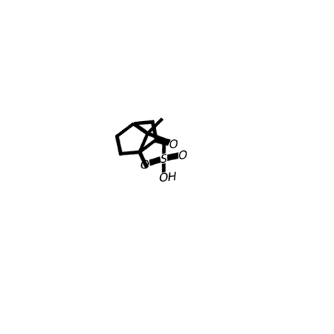 CC12CCC(CC1=O)C2(C)CS(=O)(=O)O